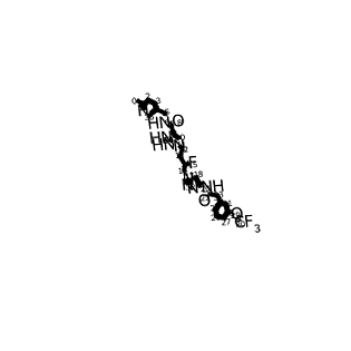 Cc1ccc(CNC(=O)C2=CN(CCC(F)Cn3cc(NC(=O)Cc4cccc(OC(F)(F)F)c4)nn3)NN2)cn1